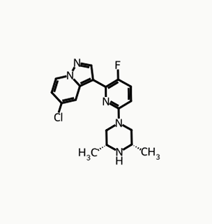 C[C@@H]1CN(c2ccc(F)c(-c3cnn4ccc(Cl)cc34)n2)C[C@H](C)N1